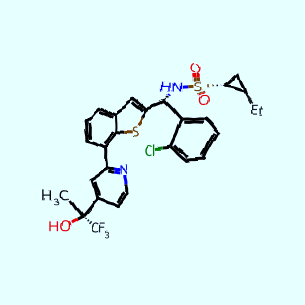 CC[C@@H]1C[C@H]1S(=O)(=O)N[C@@H](c1cc2cccc(-c3cc([C@](C)(O)C(F)(F)F)ccn3)c2s1)c1ccccc1Cl